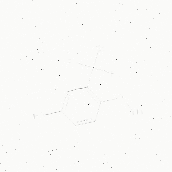 CCCOc1ccc(O)cc1C(CC)(CC)CC